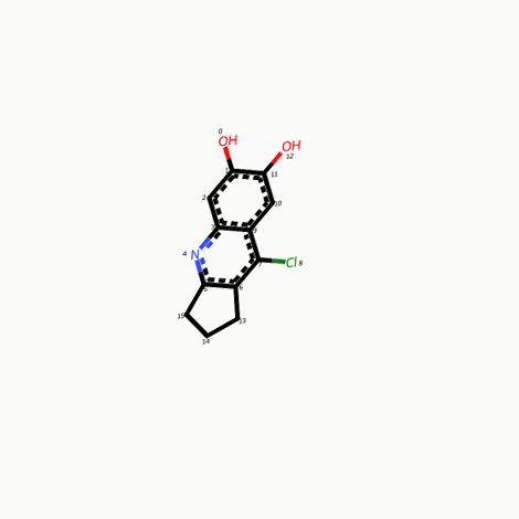 Oc1cc2nc3c(c(Cl)c2cc1O)CCC3